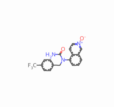 NC(=O)N(Cc1ccc(C(F)(F)F)cc1)c1cccc2c[n+]([O-])ccc12